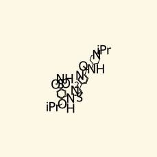 CC(C)Oc1ccc(S(N)(=O)=O)cc1Nc1nc(-c2ccc(C(=O)NC3CCN(C(C)C)CC3)nc2)cs1